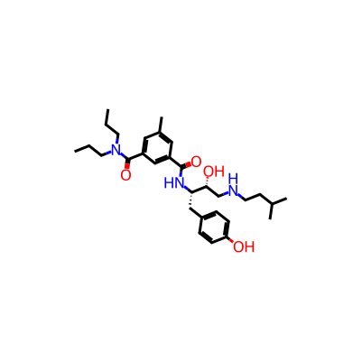 CCCN(CCC)C(=O)c1cc(C)cc(C(=O)N[C@@H](Cc2ccc(O)cc2)[C@H](O)CNCCC(C)C)c1